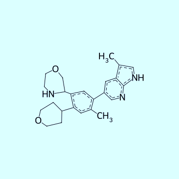 Cc1cc(C2CCOCC2)c(C2COCCN2)cc1-c1cnc2[nH]cc(C)c2c1